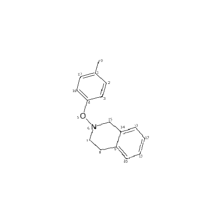 Cc1ccc(ON2CCc3ccccc3C2)cc1